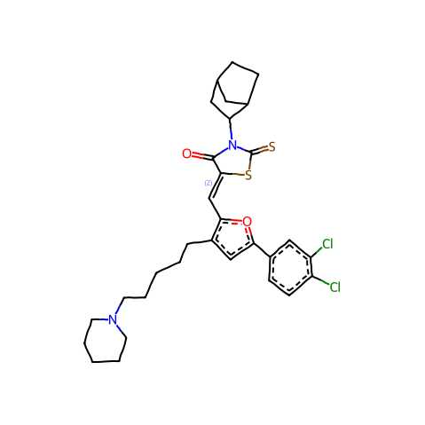 O=C1/C(=C/c2oc(-c3ccc(Cl)c(Cl)c3)cc2CCCCCN2CCCCC2)SC(=S)N1C1CC2CCC1C2